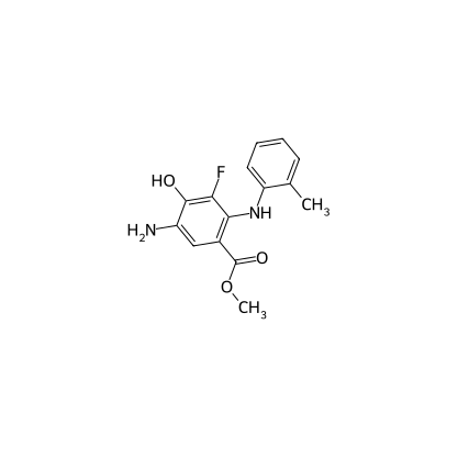 COC(=O)c1cc(N)c(O)c(F)c1Nc1ccccc1C